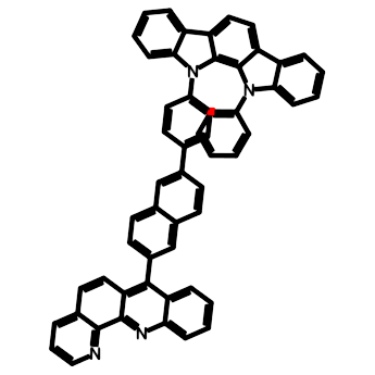 c1ccc(-n2c3ccccc3c3ccc4c5ccccc5n(-c5ccc(-c6ccc7cc(-c8c9ccccc9nc9c8ccc8cccnc89)ccc7c6)cc5)c4c32)cc1